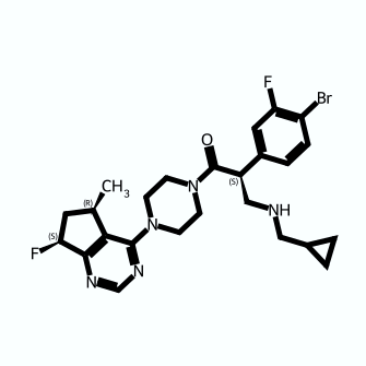 C[C@@H]1C[C@H](F)c2ncnc(N3CCN(C(=O)[C@H](CNCC4CC4)c4ccc(Br)c(F)c4)CC3)c21